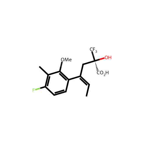 C/C=C(/C[C@@](O)(C(=O)O)C(F)(F)F)c1ccc(F)c(C)c1OC